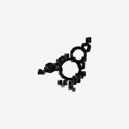 CO[C@@]1(CN2CCN(C(C)=O)CC2)/C=C/C[C@H](C)[C@@H](C)S(=O)(=O)NC(=O)c2ccc3c(c2)N(CCCCc2cc(Cl)ccc2CO3)C[C@@H]2CC[C@H]21